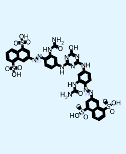 NC(=O)Nc1cc(Nc2nc(O)nc(Nc3ccc(/N=N/c4cc(S(=O)(=O)O)c5cccc(S(=O)(=O)O)c5c4)c(NC(N)=O)c3)n2)ccc1/N=N/c1cc(S(=O)(=O)O)c2cccc(S(=O)(=O)O)c2c1